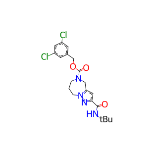 CC(C)(C)NC(=O)c1cc2n(n1)CCCN(C(=O)OCc1cc(Cl)cc(Cl)c1)C2